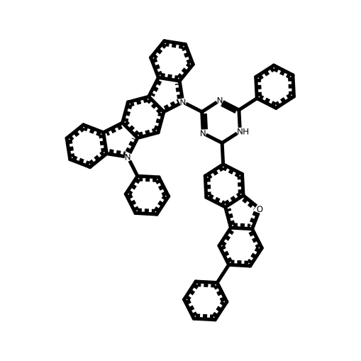 c1ccc(C2=NC(n3c4ccccc4c4cc5c6ccccc6n(-c6ccccc6)c5cc43)=NC(c3ccc4c(c3)oc3ccc(-c5ccccc5)cc34)N2)cc1